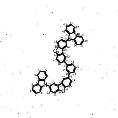 C1=Cc2c(c3ccccc3n2-c2ccc3oc4ccc(-c5cccc(-c6ccc7oc8ccc(-n9c%10ccccc%10c%10ccccc%109)cc8c7c6)c5)cc4c3c2)CC1